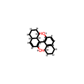 OC1=C(c2c(O)ccc3c2CCCC3)C2CCCCC2C=C1